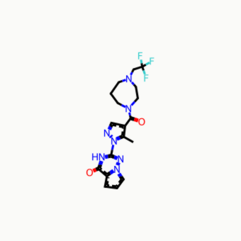 Cc1c(C(=O)N2CCCN(CC(F)(F)F)CC2)cnn1-c1nn2cccc2c(=O)[nH]1